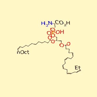 CC/C=C\C/C=C\C/C=C\C/C=C\C/C=C\CCCC(=O)OC[C@H](COP(=O)(O)OC[C@H](N)C(=O)O)OC(=O)CCCCCCCCC/C=C\CCCCCCCC